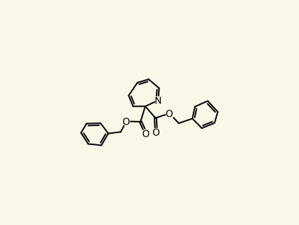 O=C(OCc1ccccc1)C1(C(=O)OCc2ccccc2)C=CC=CC=N1